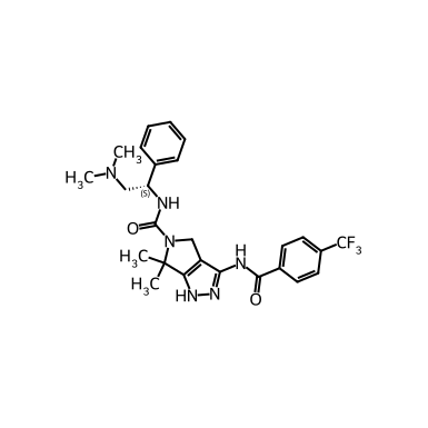 CN(C)C[C@@H](NC(=O)N1Cc2c(NC(=O)c3ccc(C(F)(F)F)cc3)n[nH]c2C1(C)C)c1ccccc1